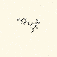 CCC1C[C@@H](CCc2ccc(Br)cc2)CN(C(=O)O)C1=O